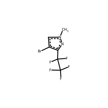 Cn1cc(Br)c(C(F)(F)C(F)(F)F)n1